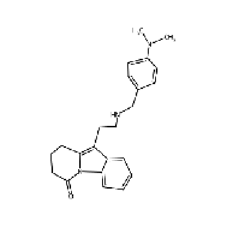 CN(C)c1ccc(CNCCc2c3n(c4ccccc24)C(=O)CCC3)cc1